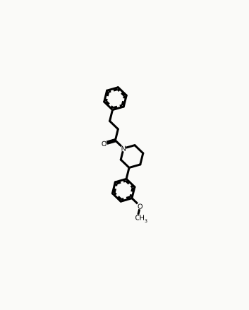 COc1cccc(C2CCCN(C(=O)CCc3ccccc3)C2)c1